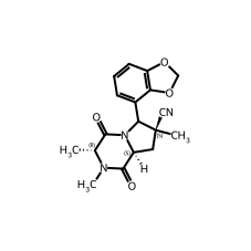 C[C@@H]1C(=O)N2C(c3cccc4c3OCO4)[C@@](C)(C#N)C[C@H]2C(=O)N1C